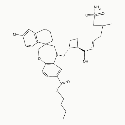 CCCCOC(=O)c1ccc2c(c1)N(C[C@@H]1CC[C@H]1C(O)/C=C/CC(C)CS(N)(=O)=O)CC1(CCCc3cc(Cl)ccc31)CO2